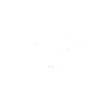 COC(=O)C1CCNC(COC2CCCCC2)C1